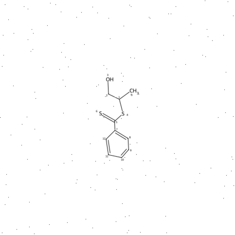 CC(CO)SC(=S)c1ccccc1